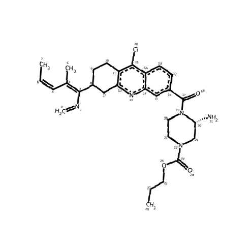 C=N/C(=C(C)\C=C/C)C1CCc2c(nc3cc(C(=O)N4CCN(C(=O)OCCC)C[C@H]4N)ccc3c2Cl)C1